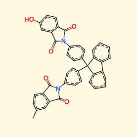 Cc1ccc2c(c1)C(=O)N(c1ccc(C3(c4ccc(N5C(=O)c6ccc(O)cc6C5=O)cc4)c4ccccc4-c4ccccc43)cc1)C2=O